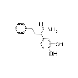 NC(=O)C(CCc1ccccc1)c1ccc(O)c(O)c1